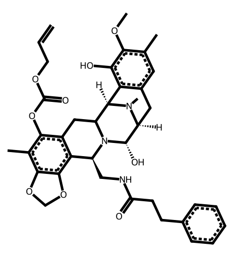 C=CCOC(=O)Oc1c(C)c2c(c3c1CC1[C@H]4c5c(cc(C)c(OC)c5O)C[C@@H]([C@H](O)N1[C@H]3CNC(=O)CCc1ccccc1)N4C)OCO2